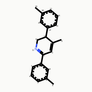 CC1=CC(c2cccc(C)c2)=NCC1c1cccc(C)c1